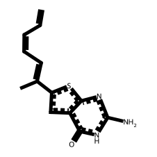 C=C/C=C\C=C(/C)c1cc2c(=O)[nH]c(N)nc2s1